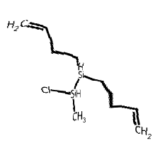 C=CCC[SiH](CCC=C)[SiH](C)Cl